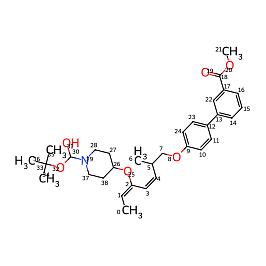 C/C=C(\C=C/C(C)COc1ccc(-c2cccc(C(=O)OC)c2)cc1)OC1CCN(C(O)OC(C)(C)C)CC1